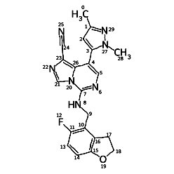 Cc1cc(-c2cnc(NCc3c(F)ccc4c3CCO4)n3cnc(C#N)c23)n(C)n1